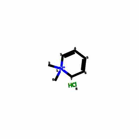 C[N+]1(C)C=CC=CC1.Cl